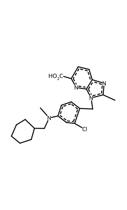 Cc1nc2ccc(C(=O)O)nc2n1Cc1ccc(N(C)CC2CCCCC2)cc1Cl